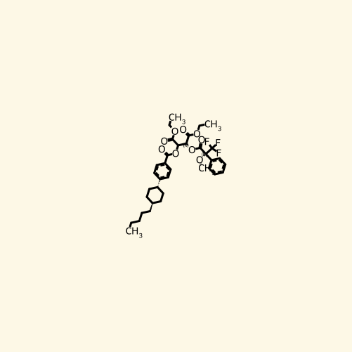 CCCCC[C@H]1CC[C@H](c2ccc(C(=O)OC(C(=O)OCC)[C@@H](OC(=O)[C@](OC)(c3ccccc3)C(F)(F)F)C(=O)OCC)cc2)CC1